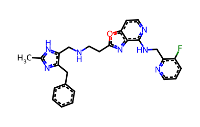 Cc1nc(Cc2ccccc2)c(CNCCc2nc3c(NCc4ncccc4F)nccc3o2)[nH]1